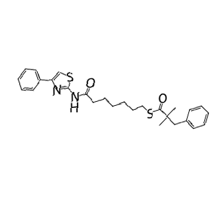 CC(C)(Cc1ccccc1)C(=O)SCCCCCCC(=O)Nc1nc(-c2ccccc2)cs1